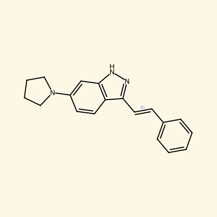 C(=C\c1n[nH]c2cc(N3CCCC3)ccc12)/c1ccccc1